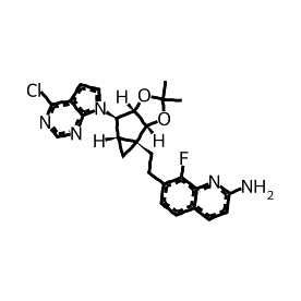 CC1(C)O[C@H]2[C@H](n3ccc4c(Cl)ncnc43)[C@H]3C[C@@]3(CCc3ccc4ccc(N)nc4c3F)[C@H]2O1